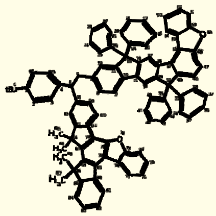 CC(C)(C)c1ccc(C(Cc2ccc3c(c2)C(c2ccccc2)(c2ccccc2)c2cc4c(cc2-3)C(c2ccccc2)(c2ccccc2)c2ccc3oc5ccccc5c3c2-4)c2ccc3c(c2)C(C)(C)c2c4c(c5c(oc6ccccc65)c2-3)-c2ccccc2C4(C)C)cc1